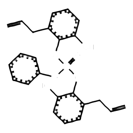 C=CCc1cccc(O)c1OP(=O)(Oc1ccccc1)Oc1c(O)cccc1CC=C